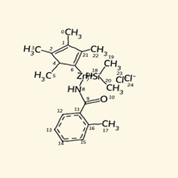 CC1=C(C)C(C)[C]([Zr+2]([NH]C(=O)c2ccccc2C)[SiH](C)C)=C1C.[Cl-].[Cl-]